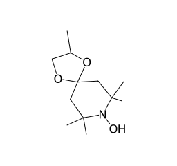 CC1COC2(CC(C)(C)N(O)C(C)(C)C2)O1